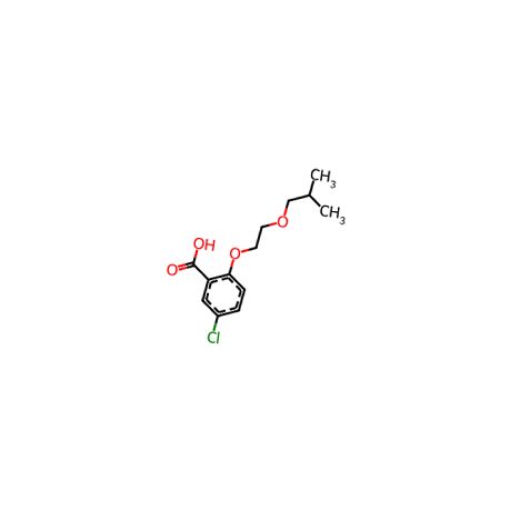 CC(C)COCCOc1ccc(Cl)cc1C(=O)O